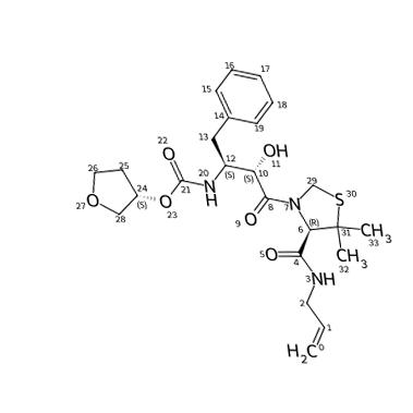 C=CCNC(=O)[C@H]1N(C(=O)[C@@H](O)[C@H](Cc2ccccc2)NC(=O)O[C@H]2CCOC2)CSC1(C)C